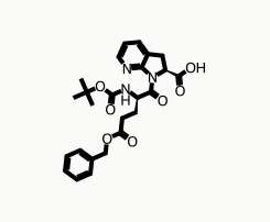 CC(C)(C)OC(=O)N[C@H](CCC(=O)OCc1ccccc1)C(=O)N1c2ncccc2C[C@H]1C(=O)O